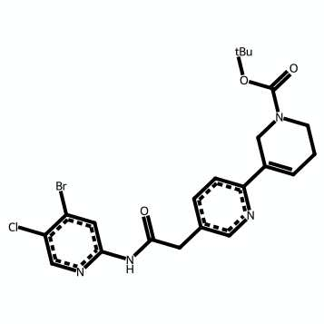 CC(C)(C)OC(=O)N1CCC=C(c2ccc(CC(=O)Nc3cc(Br)c(Cl)cn3)cn2)C1